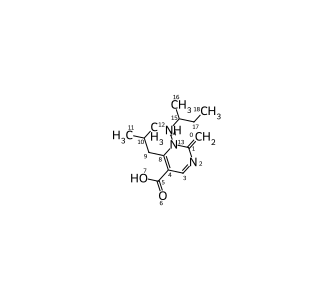 C=C1N=CC(C(=O)O)=C(CC(C)C)N1NC(C)CC